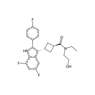 CCN(CCO)C(=O)[C@H]1C[C@H](c2c(-c3ccc(F)cc3)[nH]c3c(F)cc(F)cc32)C1